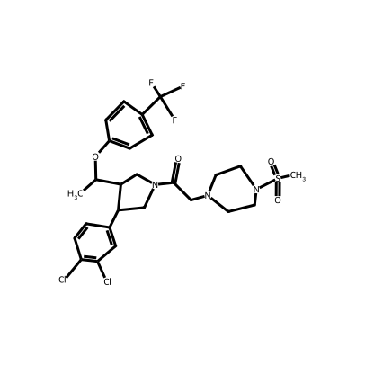 CC(Oc1ccc(C(F)(F)F)cc1)C1CN(C(=O)CN2CCN(S(C)(=O)=O)CC2)CC1c1ccc(Cl)c(Cl)c1